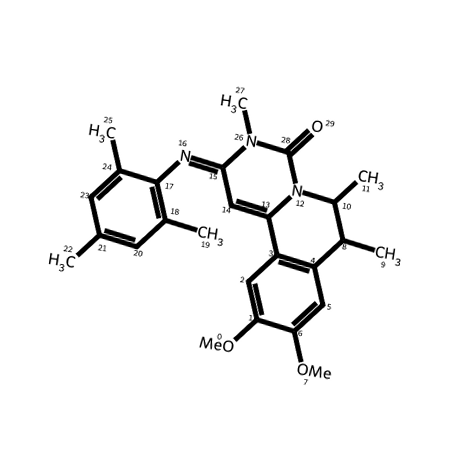 COc1cc2c(cc1OC)C(C)C(C)n1c-2cc(=Nc2c(C)cc(C)cc2C)n(C)c1=O